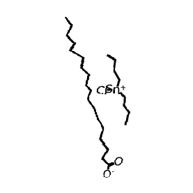 CCCCCCCCCCCCCCCCCC(=O)[O-].CCC[CH2][Sn+]([Cl])[CH2]CCC